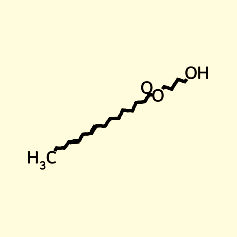 CCCC=CCC=CCCCCCCCC(=O)OCCCCO